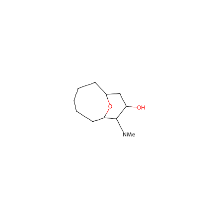 CNC1C(O)CC2CCCCCC1O2